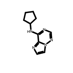 c1cn2ncnc(NC3CCCC3)c2n1